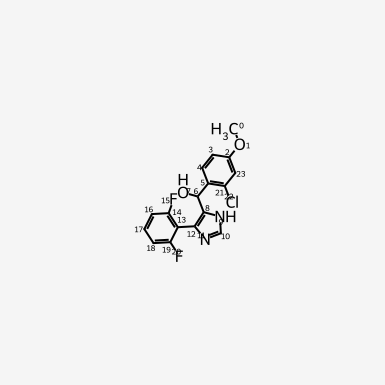 COc1ccc(C(O)c2[nH]cnc2-c2c(F)cccc2F)c(Cl)c1